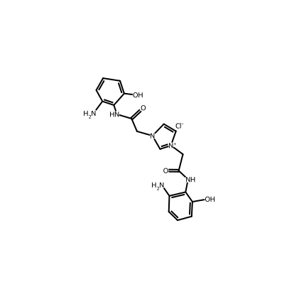 Nc1cccc(O)c1NC(=O)Cn1cc[n+](CC(=O)Nc2c(N)cccc2O)c1.[Cl-]